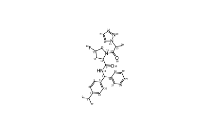 CC(C)c1ccc(C(NC(=O)C2CC(F)CN2C(=O)C(C)n2cccn2)c2ccccc2)cc1